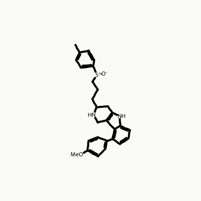 COc1ccc(-c2cccc3[nH]c4c(c23)CNC(CCC[S+]([O-])c2ccc(C)cc2)C4)cc1